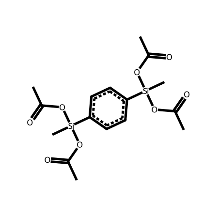 CC(=O)O[Si](C)(OC(C)=O)c1ccc([Si](C)(OC(C)=O)OC(C)=O)cc1